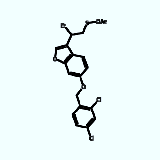 CCC(CSOC(C)=O)c1coc2cc(OCc3ccc(Cl)cc3Cl)ccc12